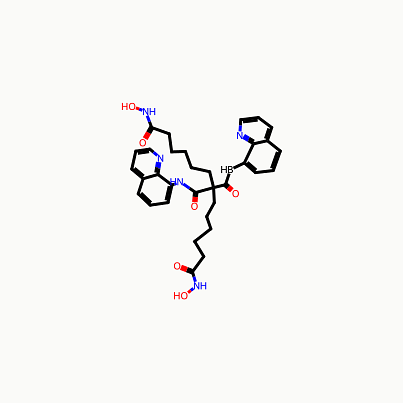 O=C(CCCCCC(CCCCCC(=O)NO)(C(=O)Bc1cccc2cccnc12)C(=O)Nc1cccc2cccnc12)NO